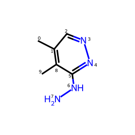 Cc1cnnc(NN)c1C